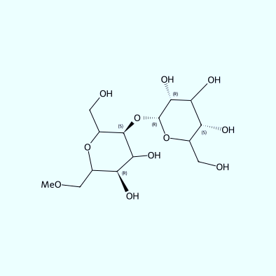 COCC1OC(CO)[C@@H](O[C@H]2OC(CO)[C@@H](O)C(O)[C@H]2O)C(O)[C@H]1O